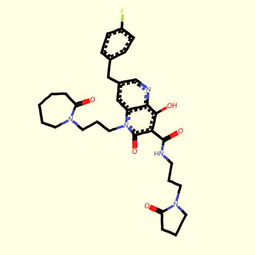 O=C(NCCCN1CCCC1=O)c1c(O)c2ncc(Cc3ccc(F)cc3)cc2n(CCCN2CCCCCC2=O)c1=O